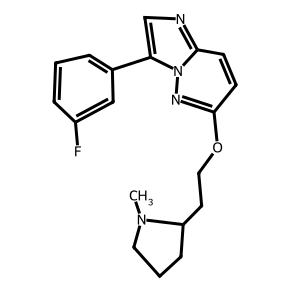 CN1CCCC1CCOc1ccc2ncc(-c3cccc(F)c3)n2n1